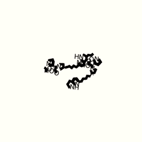 CC(C)Oc1ncccc1[C@H](C(=O)O)N1CC[C@@H](CCCCCc2ccc3c(n2)NCC(CC(C)Oc2ncccc2[C@@H](C(=O)O)N2CC[C@@H](CCCCCc4ccc5c(n4)NCCC5)C2)C3)C1